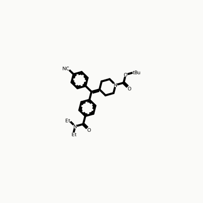 CCN(CC)C(=O)c1ccc(C(=C2CCN(C(=O)OC(C)(C)C)CC2)c2ccc(C#N)cc2)cc1